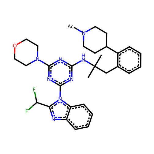 CC(=O)N1CCC(c2ccccc2CC(C)(C)Nc2nc(N3CCOCC3)nc(-n3c(C(F)F)nc4ccccc43)n2)CC1